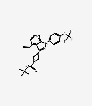 C=Cc1ccnc2c1c(C1CN(C(=O)OC(C)(C)C)C1)nn2-c1ccc(OC(F)(F)F)cc1